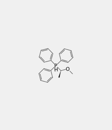 CO[C@@H](C)[PH](c1ccccc1)(c1ccccc1)c1ccccc1